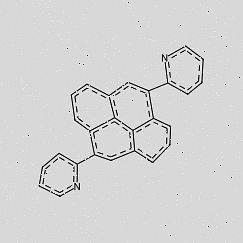 c1ccc(-c2cc3cccc4c(-c5ccccn5)cc5cccc2c5c34)nc1